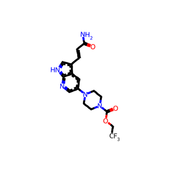 NC(=O)/C=C/c1c[nH]c2ncc(N3CCN(C(=O)OCC(F)(F)F)CC3)cc12